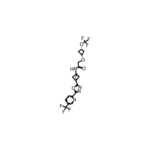 O=C(CO[C@H]1C[C@@H](OC(F)(F)F)C1)NC12CC(c3nnc(-c4ccc(C(F)(F)F)cn4)o3)(C1)C2